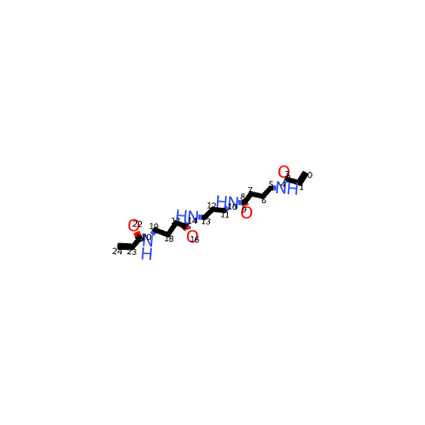 C=CC(=O)NCCCC(=O)NCCCNC(=O)CCCNC(=O)C=C